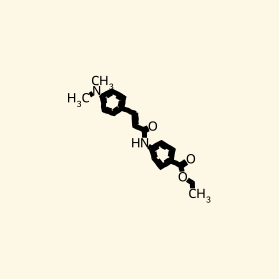 CCOC(=O)c1ccc(NC(=O)C=Cc2ccc(N(C)C)cc2)cc1